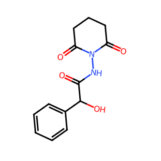 O=C(NN1C(=O)CCCC1=O)C(O)c1ccccc1